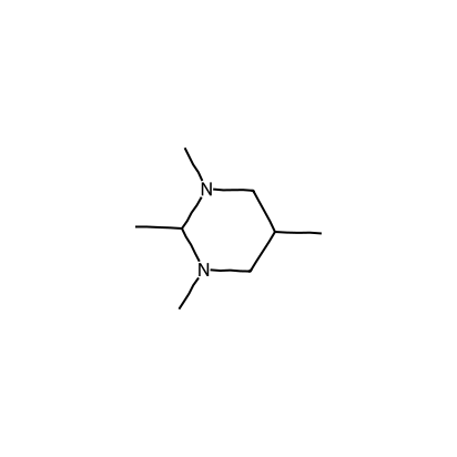 CC1CN(C)C(C)N(C)C1